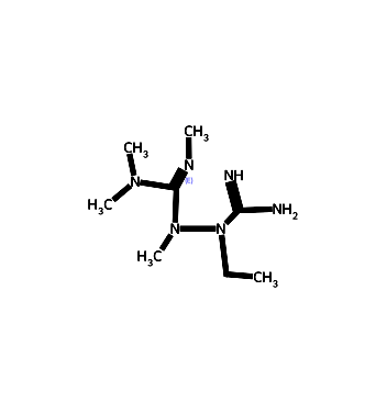 CCN(C(=N)N)N(C)/C(=N/C)N(C)C